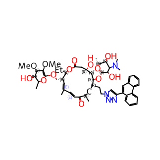 CC[C@H]1OC(=O)C[C@@H](O)[C@H](C)[C@@H](O[C@@H]2O[C@H](C)[C@@H](O)C(N(C)C)C2O)[C@@H](CCn2cc(-c3cc4ccccc4c4ccccc34)nn2)C[C@@H](C)C(=O)/C=C/C(C)=C/[C@@H]1COC1=C(OC)[C@@H](OC)[C@H](O)C(C)O1